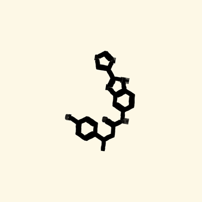 CC(CC(=O)Nc1ccc2[nH]c(-c3cscn3)nc2c1)c1ccc(Cl)cc1